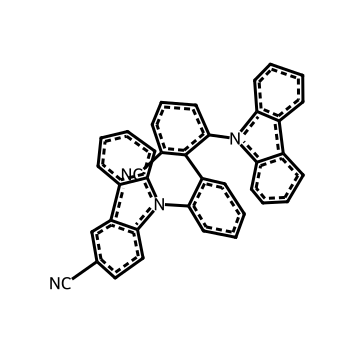 N#Cc1ccc2c(c1)c1ccccc1n2-c1ccccc1-c1c(C#N)cccc1-n1c2ccccc2c2ccccc21